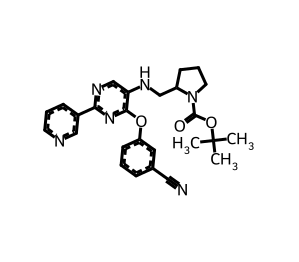 CC(C)(C)OC(=O)N1CCCC1CNc1cnc(-c2cccnc2)nc1Oc1cccc(C#N)c1